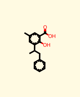 Cc1cc(C(=O)O)c(O)c(C(C)Cc2ccccc2)c1